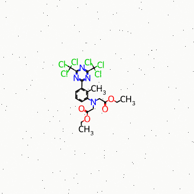 CCOC(=O)CN(CC(=O)OCC)c1cccc(-c2nc(C(Cl)(Cl)Cl)nc(C(Cl)(Cl)Cl)n2)c1C